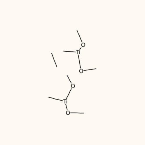 CC.C[O][Ti]([CH3])[O]C.C[O][Ti]([CH3])[O]C